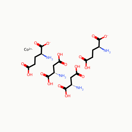 N[C@@H](CC(=O)O)C(=O)O.N[C@@H](CC(=O)O)C(=O)O.N[C@@H](CCC(=O)O)C(=O)[O-].N[C@@H](CCC(=O)O)C(=O)[O-].[Co+2]